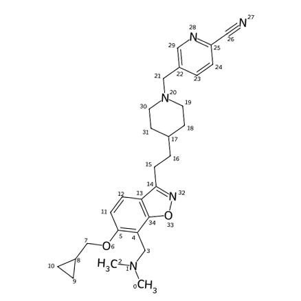 CN(C)Cc1c(OCC2CC2)ccc2c(CCC3CCN(Cc4ccc(C#N)nc4)CC3)noc12